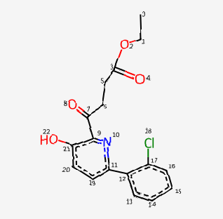 CCOC(=O)CCC(=O)c1nc(-c2ccccc2Cl)ccc1O